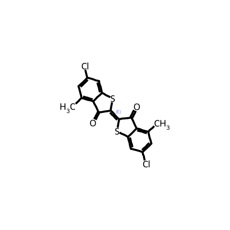 Cc1cc(Cl)cc2c1C(=O)/C(=C1\Sc3cc(Cl)cc(C)c3C1=O)S2